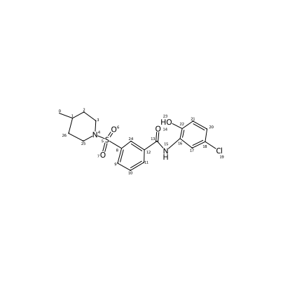 CC1CCN(S(=O)(=O)c2cccc(C(=O)Nc3cc(Cl)ccc3O)c2)CC1